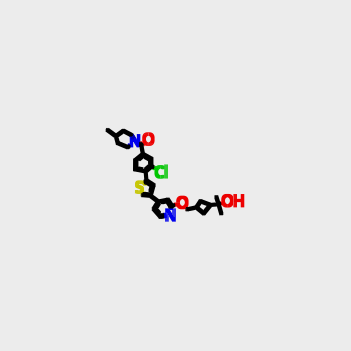 CC1CCN(C(=O)c2ccc(-c3cc(-c4ccnc(OCC5CC(C(C)(C)O)C5)c4)cs3)c(Cl)c2)CC1